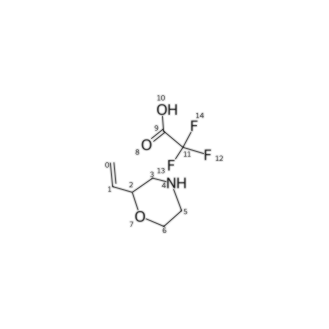 C=CC1CNCCO1.O=C(O)C(F)(F)F